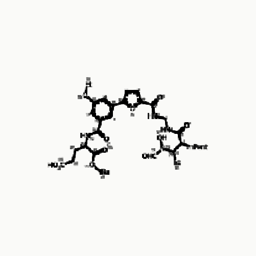 CCCCCC(C(=O)NCNC(=O)c1ccc(-c2cc(OCC)cc(C(=O)NC(CCC(=O)O)C(=O)OC(C)(C)C)c2)o1)[C@@H](CC)N(O)C=O